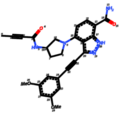 CC#CC(=O)N[C@@H]1CCN(c2ccc(C(N)=O)c3[nH]nc(C#Cc4cc(OC)cc(OC)c4)c23)C1